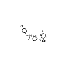 N=C(/C=C\CC(I)NCc1ccc(Cl)cc1)c1c[nH]c2ncc(Cl)nc12